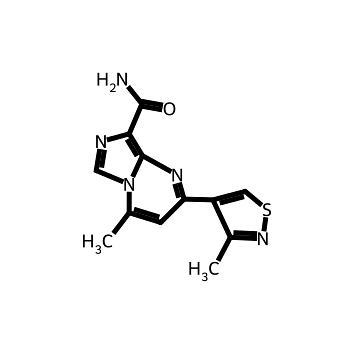 Cc1nscc1-c1cc(C)n2cnc(C(N)=O)c2n1